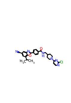 CC(C)c1cc(C#N)cc2nc(-c3ccc(C(=O)NCC4CCN(c5ccnc(Cl)n5)CC4)cc3)oc12